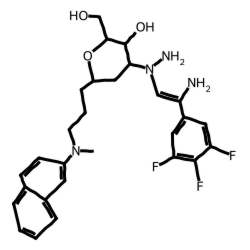 CN(CCCC1CC(N(N)/C=C(\N)c2cc(F)c(F)c(F)c2)C(O)C(CO)O1)c1ccc2ccccc2c1